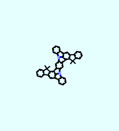 CC1(C)c2ccccc2-c2cc3c4ccccc4n4c5cc6c7c8c(cc9c%10ccccc%10n(c6cc5c(c21)c34)c97)-c1ccccc1C8(C)C